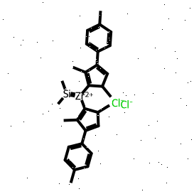 CC1=[C]([Zr+2]([C]2=C(C)C(c3ccc(C)cc3)=CC2C)=[Si](C)C)C(C)C=C1c1ccc(C)cc1.[Cl-].[Cl-]